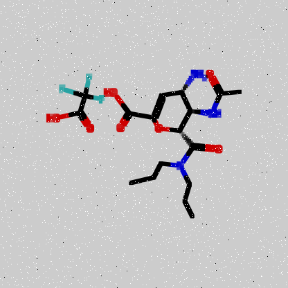 CCCN(CCC)C(=O)[C@@H]1OC(C(=O)O)=C[C@H](N)[C@H]1NC(C)=O.O=C(O)C(F)(F)F